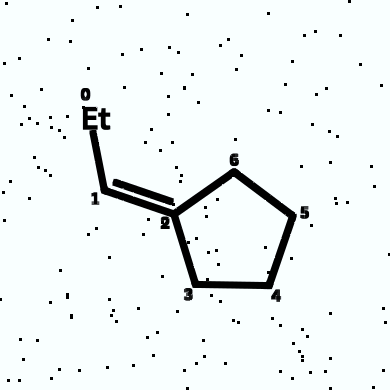 [CH2]CC=C1CCCC1